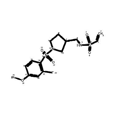 C=CS(=O)(=O)NCC1CCN(S(=O)(=O)c2ccc(OC(C)C)cc2F)C1